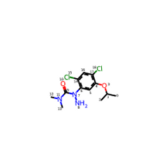 CC(C)Oc1cc(N(N)C(=O)N(C)C)c(Cl)cc1Cl